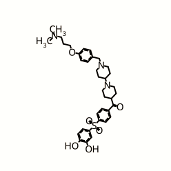 CN(C)CCCOc1ccc(CN2CCC(N3CCC(C(=O)c4ccc(S(=O)(=O)c5ccc(O)c(O)c5)cc4)CC3)CC2)cc1